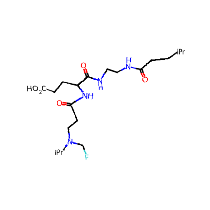 CC(C)CCC(=O)NCCNC(=O)C(CCC(=O)O)NC(=O)CCN(CF)C(C)C